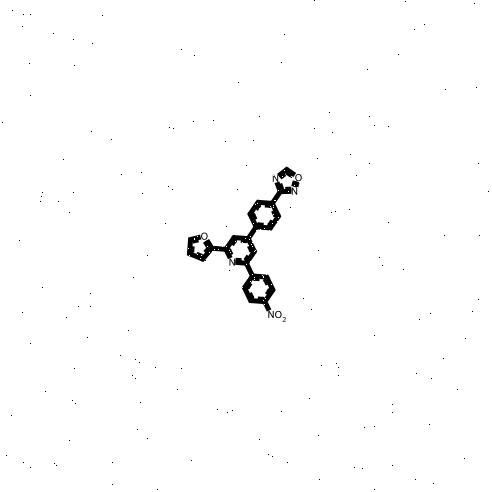 O=[N+]([O-])c1ccc(-c2cc(-c3ccc(-c4ncon4)cc3)cc(-c3ccco3)n2)cc1